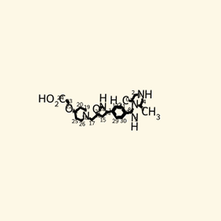 CC1CNCC(C)N1C(=N)c1ccc(C2CC(CN3CCC(OCC(=O)O)CC3)ON2)cc1